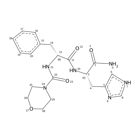 NC(=O)[C@H](Cc1c[nH]cn1)NC(=O)[C@@H](Cc1ccccc1)NC(=O)N1CCOCC1